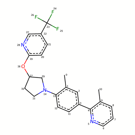 Cc1cc(-c2ncccc2C)ccc1N1CCC(Oc2ccc(C(F)(F)F)cn2)C1